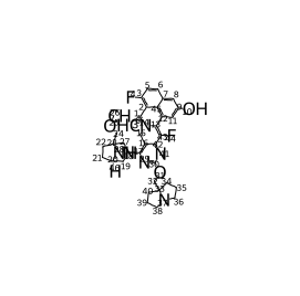 C#Cc1c(F)ccc2cc(O)cc(-c3ncc4c(N5C[C@H]6CCC(COC)(C5)N6)nc(OCC56CCCN5CCC6)nc4c3F)c12